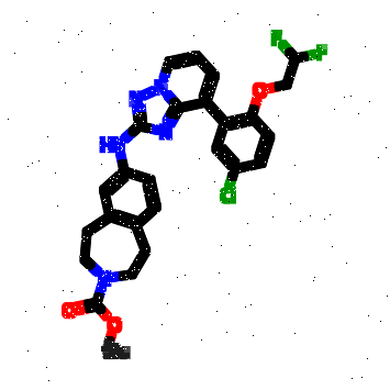 CC(C)(C)OC(=O)N1CCc2ccc(Nc3nc4c(-c5cc(Cl)ccc5OCC(F)F)cccn4n3)cc2CC1